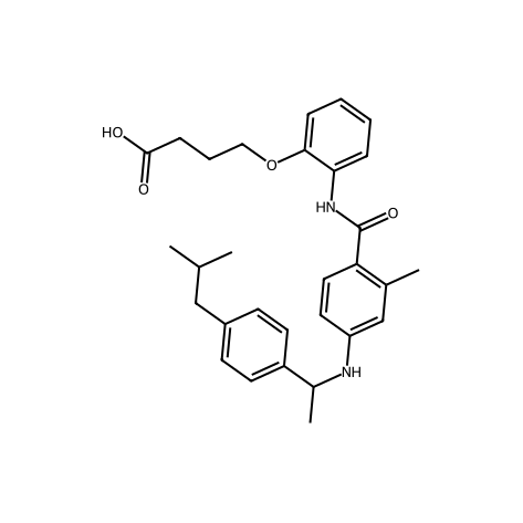 Cc1cc(NC(C)c2ccc(CC(C)C)cc2)ccc1C(=O)Nc1ccccc1OCCCC(=O)O